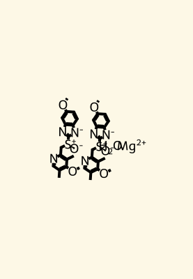 COc1ccc2[n-]c([S@@+]([O-])Cc3ncc(C)c(OC)c3C)nc2c1.COc1ccc2[n-]c([S@@+]([O-])Cc3ncc(C)c(OC)c3C)nc2c1.O.[Mg+2]